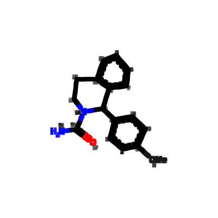 COc1ccc(C2c3ccccc3CCN2C(N)=O)cc1